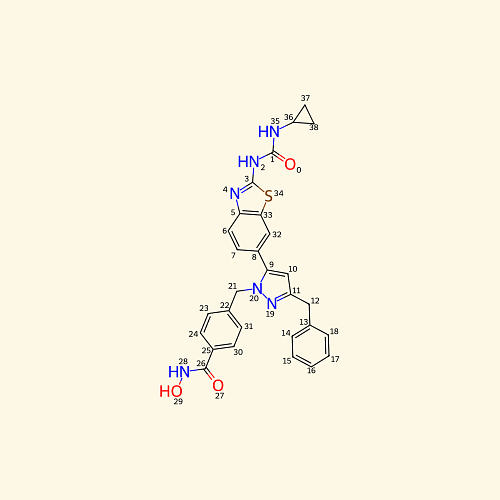 O=C(Nc1nc2ccc(-c3cc(Cc4ccccc4)nn3Cc3ccc(C(=O)NO)cc3)cc2s1)NC1CC1